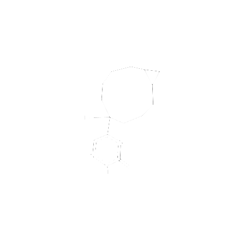 CC1(c2cn[nH]c(=O)n2)CCCCC2CC2CCC1